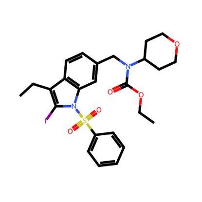 CCOC(=O)N(Cc1ccc2c(CC)c(I)n(S(=O)(=O)c3ccccc3)c2c1)C1CCOCC1